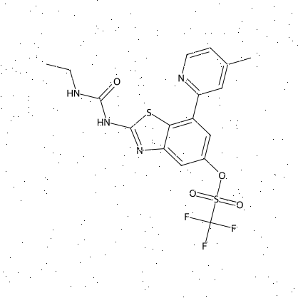 CCNC(=O)Nc1nc2cc(OS(=O)(=O)C(F)(F)F)cc(-c3cc(C)ccn3)c2s1